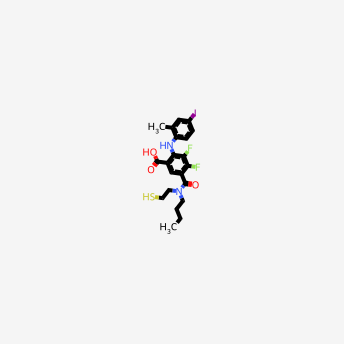 CCCCN(CCS)C(=O)c1cc(C(=O)O)c(Nc2ccc(I)cc2C)c(F)c1F